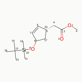 COC(=O)C[C@H]1C=CC(O[Si](C)(C)C(C)(C)C)C1